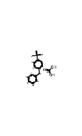 CC(C)(C)c1ccc(Cc2ccccc2)cc1.O=C(O)O